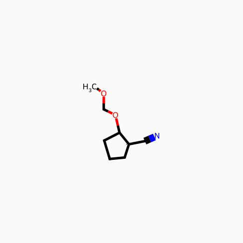 COCOC1CCC[C]1C#N